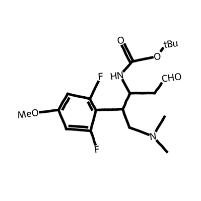 COc1cc(F)c(C(CN(C)C)C(CC=O)NC(=O)OC(C)(C)C)c(F)c1